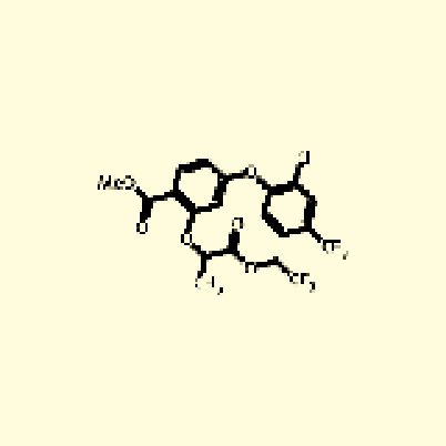 COC(=O)c1ccc(Oc2ccc(C(F)(F)F)cc2Cl)cc1OC(C)C(=O)OCC(F)(F)F